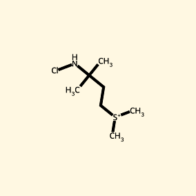 C[S+](C)CCC(C)(C)NCl